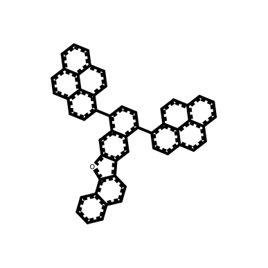 c1ccc2c(c1)ccc1c3cc4c(-c5ccc6ccc7cccc8ccc5c6c78)ccc(-c5ccc6ccc7cccc8ccc5c6c78)c4cc3oc21